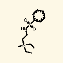 CC[N+](C)(CC)CCNS(=O)(=O)c1cc[c]cc1